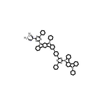 C/C=C\C(=C/C)c1nc(-c2ccccc2)nc(-n2c3ccccc3c3cc4c5cc(-c6ccc(-c7nc(-c8ccccc8)nc(-n8c9ccccc9c9c%10c%11ccccc%11n(-c%11ccccc%11)c%10ccc98)n7)cc6)ccc5n(-c5ccccc5)c4cc32)n1